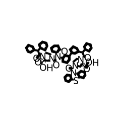 O=C(O)[C@@H]1CN(C(=O)N2c3ccccc3Sc3ccccc32)CCN1C(=O)C(c1ccccc1)c1cccc(-c2cccc3c2Oc2ccccc2N3C(=O)N2CCN(C(=O)C(c3ccccc3)c3ccccc3)[C@H](C(=O)O)C2)c1